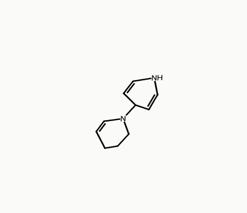 C1=CN(C2C=CNC=C2)CCC1